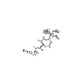 CCC[CH2][Sn]([CH2]CCC)([CH2]CCC)[c]1ccc(CCC(=O)OCC)cc1